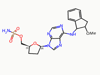 COC1Cc2ccccc2C1Nc1ncnc2c1ncn2[C@H]1CC[C@@H](COS(N)(=O)=O)O1